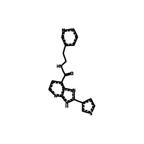 O=C(NCCc1cccnc1)c1ccnc2[nH]c(-c3ccsc3)nc12